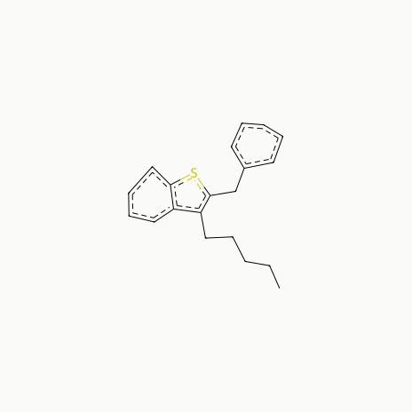 CCCCCc1c(Cc2ccccc2)sc2ccccc12